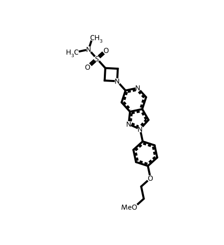 COCCOc1ccc(-n2cc3cnc(N4CC(S(=O)(=O)N(C)C)C4)cc3n2)cc1